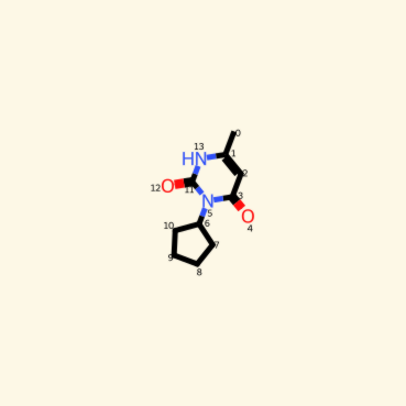 Cc1cc(=O)n(C2CCCC2)c(=O)[nH]1